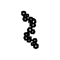 CC12C=CC(c3cccc4c3oc3ccccc34)=NC1c1nc(-c3ccc(-c4ccc5ccc6ccc(-c7cccc8c7oc7ccccc78)nc6c5n4)c4ccccc34)ccc1C=C2